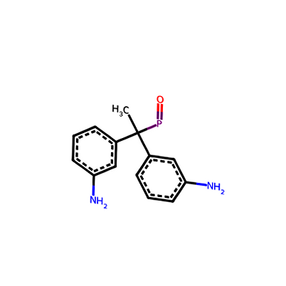 CC(P=O)(c1cccc(N)c1)c1cccc(N)c1